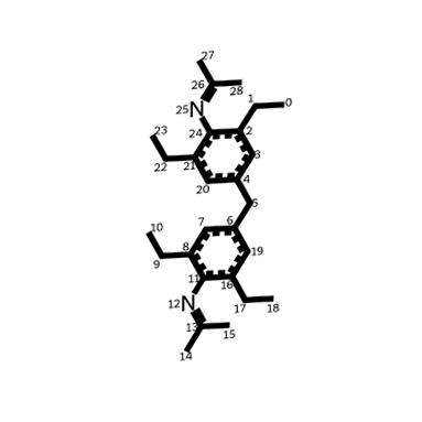 CCc1cc(Cc2cc(CC)c(N=C(C)C)c(CC)c2)cc(CC)c1N=C(C)C